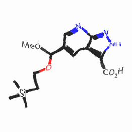 COC(OCC[Si](C)(C)C)c1cnc2n[nH]c(C(=O)O)c2c1